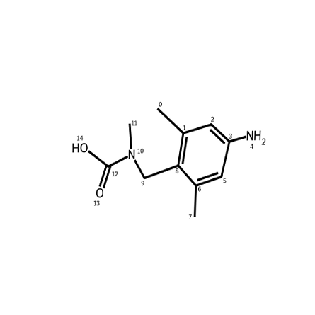 Cc1cc(N)cc(C)c1CN(C)C(=O)O